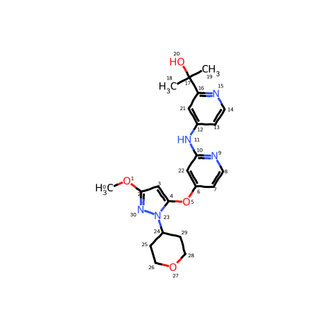 COc1cc(Oc2ccnc(Nc3ccnc(C(C)(C)O)c3)c2)n(C2CCOCC2)n1